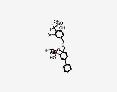 CC(C)CCOC1(CSCc2ccc(C(F)(F)P(=O)(O)O)c(Br)c2)C=CC(c2ccccc2)=CC1P(=O)(O)O